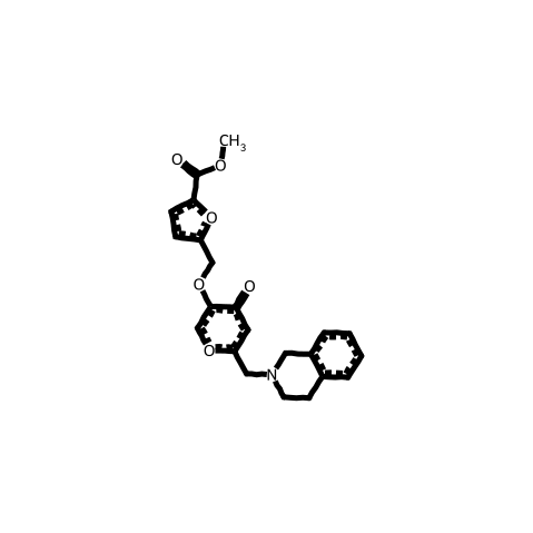 COC(=O)c1ccc(COc2coc(CN3CCc4ccccc4C3)cc2=O)o1